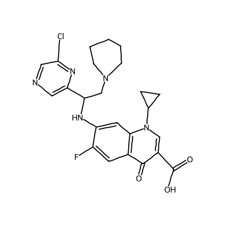 O=C(O)c1cn(C2CC2)c2cc(NC(CN3CCCCC3)c3cncc(Cl)n3)c(F)cc2c1=O